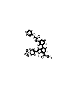 Cc1c(NC(=O)COc2cccnc2)cccc1-c1ccc(C(N)=O)c2[nH]c(C3=CCN(S(C)(=O)=O)CC3)cc12